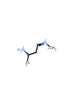 CCC(N)C/C=N\C